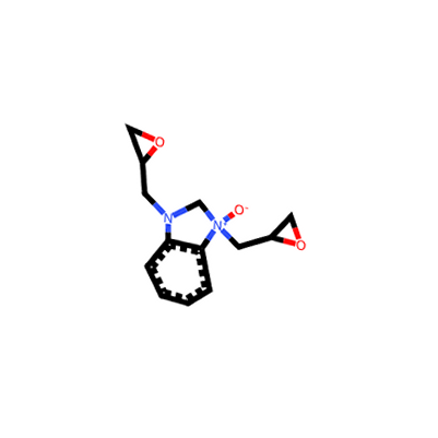 [O-][N+]1(CC2CO2)CN(CC2CO2)c2ccccc21